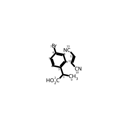 CC(C(=O)O)c1ccc(Br)cc1.N#CC=CC#N